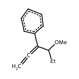 C=C=C(c1ccccc1)C(CC)OC